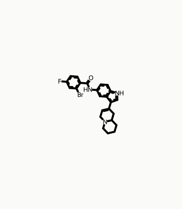 O=C(Nc1ccc2[nH]cc(C3=CCN4CCCCC4C3)c2c1)c1ccc(F)cc1Br